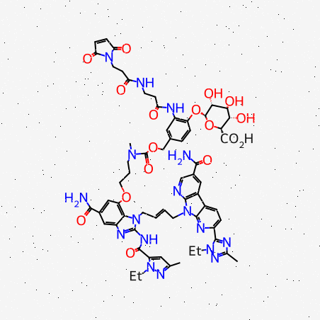 CCn1nc(C)cc1C(=O)Nc1nc2cc(C(N)=O)cc(OCCCN(C)C(=O)OCc3ccc(O[C@@H]4O[C@H](C(=O)O)[C@@H](O)[C@H](O)[C@H]4O)c(NC(=O)CCNC(=O)CCN4C(=O)C=CC4=O)c3)c2n1C/C=C/Cn1c2ncc(C(N)=O)cc2c2ccc(-c3nc(C)nn3CC)nc21